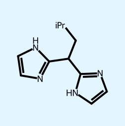 CC(C)C[C](c1ncc[nH]1)c1ncc[nH]1